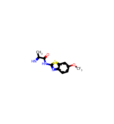 CC(=N)C(=O)Nc1nc2ccc(OC(F)(F)F)cc2s1